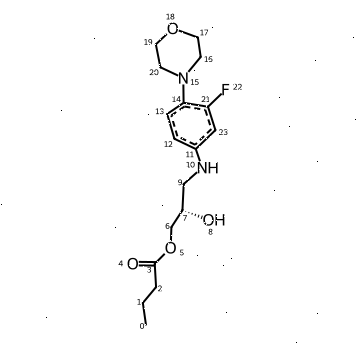 CCCC(=O)OC[C@@H](O)CNc1ccc(N2CCOCC2)c(F)c1